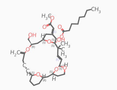 C=C1CCC[C@@H]2CCC[C@H](C[C@@H]3CCO[C@H](/C=C/C(C)(C)[C@]4(O)O[C@@H](C/C(=C\C(=O)OC)[C@@H]4OC(=O)CCCCCCC)C[C@H](CO)O1)O3)O2